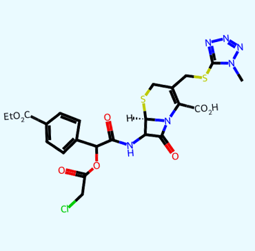 CCOC(=O)c1ccc(C(OC(=O)CCl)C(=O)NC2C(=O)N3C(C(=O)O)=C(CSc4nnnn4C)CS[C@H]23)cc1